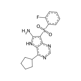 Nc1[nH]c2c(C3CCCC3)ncnc2c1S(=O)(=O)c1ccccc1F